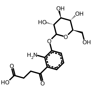 Nc1c(OC2O[C@H](CO)[C@@H](O)[C@H](O)[C@H]2O)cccc1C(=O)CCC(=O)O